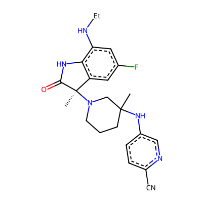 CCNc1cc(F)cc2c1NC(=O)[C@]2(C)N1CCCC(C)(Nc2ccc(C#N)nc2)C1